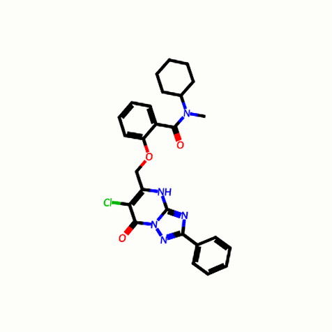 CN(C(=O)c1ccccc1OCc1[nH]c2nc(-c3ccccc3)nn2c(=O)c1Cl)C1CCCCC1